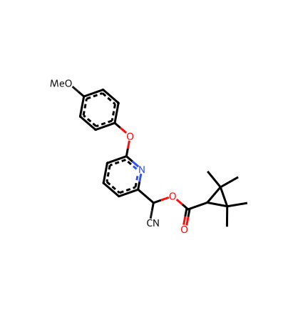 COc1ccc(Oc2cccc(C(C#N)OC(=O)C3C(C)(C)C3(C)C)n2)cc1